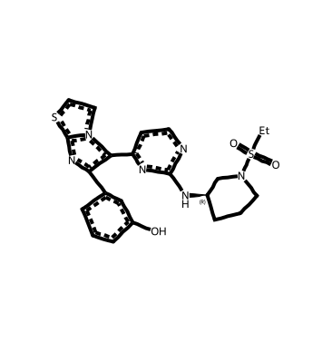 CCS(=O)(=O)N1CCC[C@@H](Nc2nccc(-c3c(-c4cccc(O)c4)nc4sccn34)n2)C1